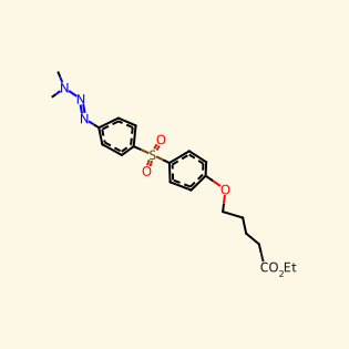 CCOC(=O)CCCCOc1ccc(S(=O)(=O)c2ccc(N=NN(C)C)cc2)cc1